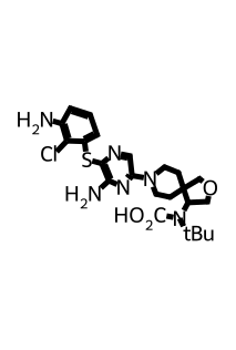 CC(C)(C)N(C(=O)O)C1COCC12CCN(c1cnc(Sc3cccc(N)c3Cl)c(N)n1)CC2